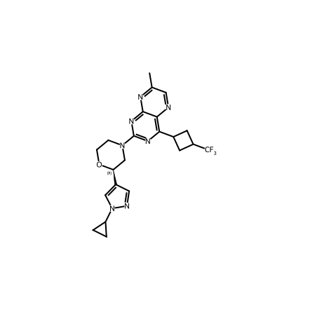 Cc1cnc2c(C3CC(C(F)(F)F)C3)nc(N3CCO[C@H](c4cnn(C5CC5)c4)C3)nc2n1